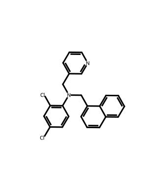 Clc1ccc(N(Cc2cccnc2)Cc2cccc3ccccc23)c(Cl)c1